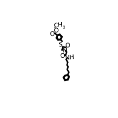 CCOC(=O)c1ccc(CSC2CN(CC(=O)NCCCCCCc3ccccc3)C2=O)cc1